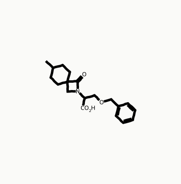 CC1CCC2(CC1)CN(C(COCc1ccccc1)C(=O)O)C2=O